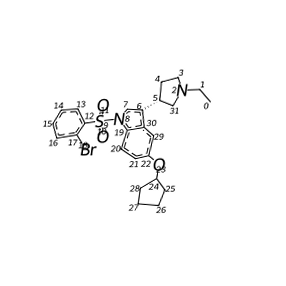 CCN1CC[C@@H](c2cn(S(=O)(=O)c3ccccc3Br)c3ccc(OC4CCCC4)cc23)C1